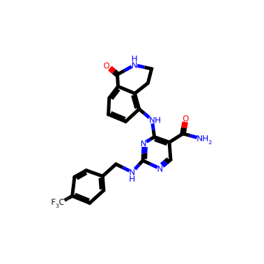 NC(=O)c1cnc(NCc2ccc(C(F)(F)F)cc2)nc1Nc1cccc2c1CCNC2=O